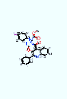 COC(=O)N(NC(=O)c1c(OC)c(-c2ccccc2)nc2ccccc12)c1ccc(I)cc1